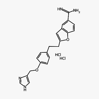 Cl.Cl.N=C(N)c1ccc2oc(CCc3ccc(OCc4c[nH]cn4)cc3)cc2c1